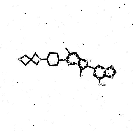 COc1cc(-c2[nH]c3cc(C)c(C4CCC(N5CC6(COC6)C5)CC4)nc3c2C(C)C)cn2ncnc12